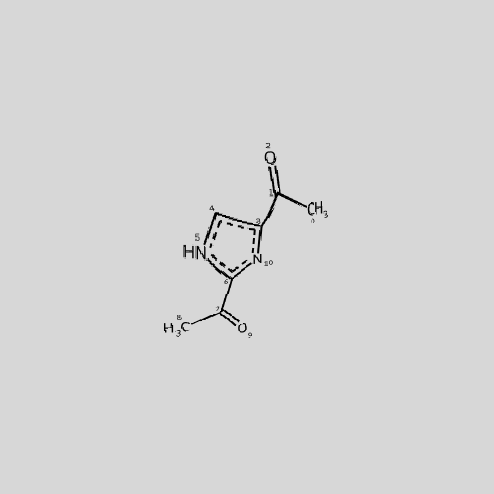 CC(=O)c1c[nH]c(C(C)=O)n1